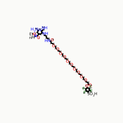 CCCN(OCC)C(=O)C1=CC(NCCCCNC(=O)CCOCCOCCOCCOCCOCCOCCOCCOCCOCCOCCC(=O)Oc2c(F)c(F)c(S(=O)(=O)O)c(F)c2F)=C(C=N)N=C(N)C1